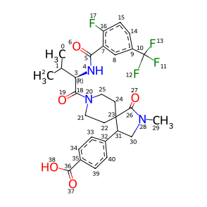 CC(C)[C@@H](NC(=O)c1cc(C(F)(F)F)ccc1F)C(=O)N1CCC2(CC1)C(=O)N(C)CC2c1ccc(C(=O)O)cc1